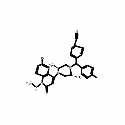 CPn1c(=O)cc(N2C[C@@H](C)N(C(c3ccc(F)cc3)c3ccc(C#N)cc3)C[C@@H]2C)c2nc(Br)ccc21